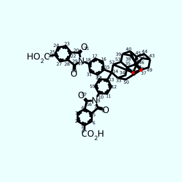 O=C(O)c1ccc2c(c1)C(=O)N(c1ccc(C3(c4ccc(N5C(=O)c6ccc(C(=O)O)cc6C5=O)cc4)C4CC56CC7CC8C9C%10CC%11CC9(C7)C5C(C%11)(C4)C%10C3C86)cc1)C2=O